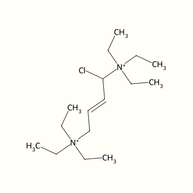 CC[N+](CC)(CC)CC=CC(Cl)[N+](CC)(CC)CC